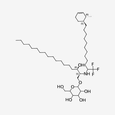 CCCCCCCCCCCCCCC[C@@H](O)[C@H](COC1OC(CO)C(O)C(O)C1O)NC(CCCCCCCCCC[C@H]1CCC=C[C@@H]1C)C(F)(F)F